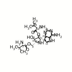 CC(C)[C@H](N)C(=O)OC[C@H]1N[C@@H](c2c[nH]c3c(N)ncnc23)[C@H](OC(=O)[C@@H](N)C(C)C)[C@@H]1O